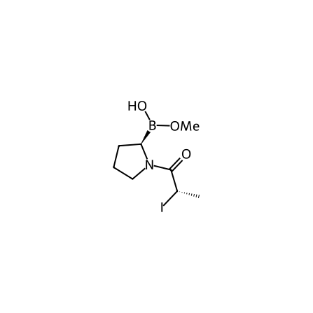 COB(O)[C@@H]1CCCN1C(=O)[C@H](C)I